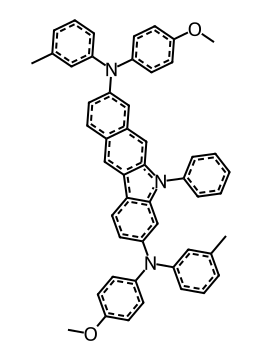 COc1ccc(N(c2cccc(C)c2)c2ccc3cc4c5ccc(N(c6ccc(OC)cc6)c6cccc(C)c6)cc5n(-c5ccccc5)c4cc3c2)cc1